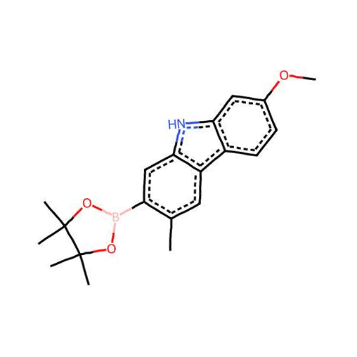 COc1ccc2c(c1)[nH]c1cc(B3OC(C)(C)C(C)(C)O3)c(C)cc12